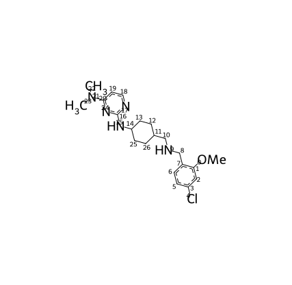 COc1cc(Cl)ccc1CNCC1CCC(Nc2nccc(N(C)C)n2)CC1